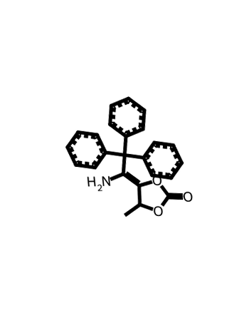 CC1OC(=O)OC1=C(N)C(c1ccccc1)(c1ccccc1)c1ccccc1